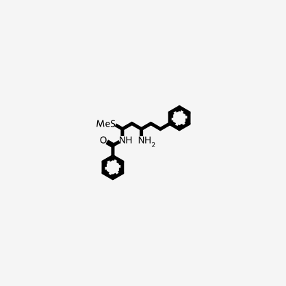 CSC(CC(N)CCc1ccccc1)NC(=O)c1ccccc1